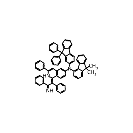 CC1(C)c2ccccc2-c2c(N(c3ccc4c(c3)C=C(c3ccccc3)N/C4=C(\C(=N)c3ccccc3)c3ccccc3)c3ccc4c(c3)C(c3ccccc3)(c3ccccc3)c3ccccc3-4)cccc21